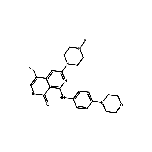 CCN1CCN(c2cc3c(C#N)c[nH]c(=O)c3c(Nc3ccc(N4CCOCC4)cc3)n2)CC1